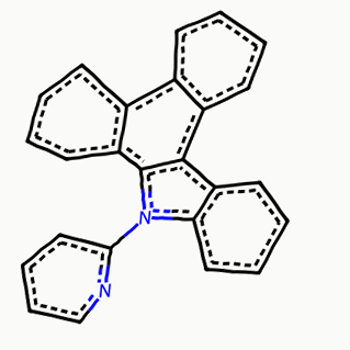 c1ccc(-n2c3ccccc3c3c4ccccc4c4ccccc4c32)nc1